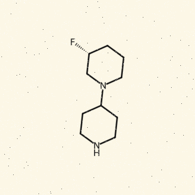 F[C@@H]1CCCN(C2CCNCC2)C1